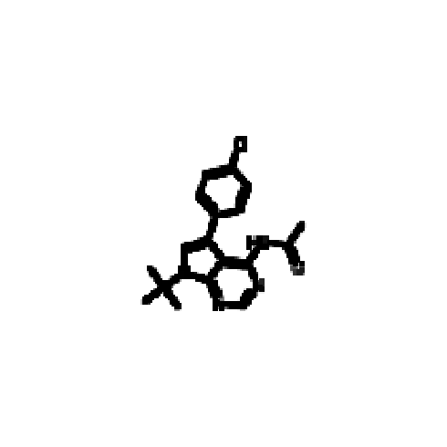 CC(=O)Nc1ncnc2c1c(-c1ccc(Cl)cc1)cn2C(C)(C)C